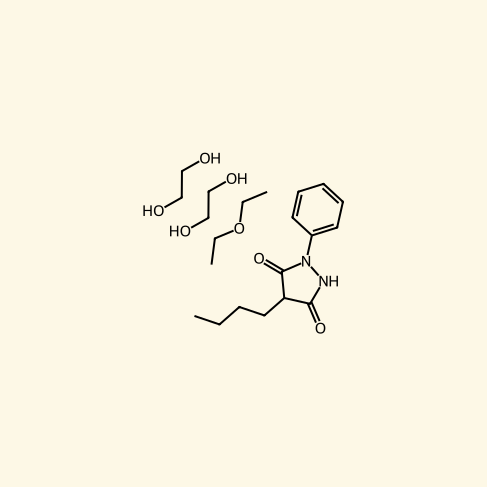 CCCCC1C(=O)NN(c2ccccc2)C1=O.CCOCC.OCCO.OCCO